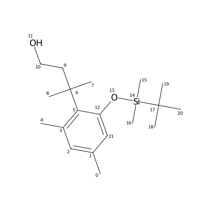 Cc1cc(C)c(C(C)(C)CCO)c(O[Si](C)(C)C(C)(C)C)c1